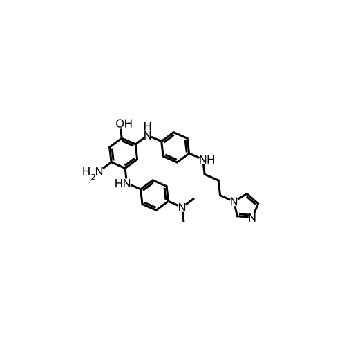 CN(C)c1ccc(Nc2cc(Nc3ccc(NCCCn4ccnc4)cc3)c(O)cc2N)cc1